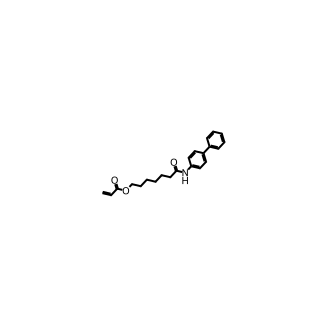 C=CC(=O)OCCCCCCC(=O)Nc1ccc(-c2ccccc2)cc1